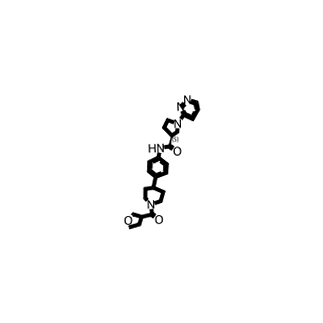 O=C(Nc1ccc(C2CCN(C(=O)C3CCOC3)CC2)cc1)[C@H]1CCN(c2cccnn2)C1